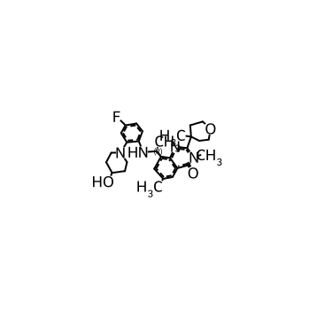 Cc1cc([C@@H](C)Nc2ccc(F)cc2N2CCC(O)CC2)c2nc(C3(C)CCOCC3)n(C)c(=O)c2c1